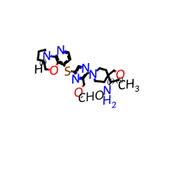 C[C@@H]1OCC2(CCN(c3ncc(Sc4ccnc5c4OC[C@@H]4CCCN54)nc3COC=O)CC2)[C@@H]1N